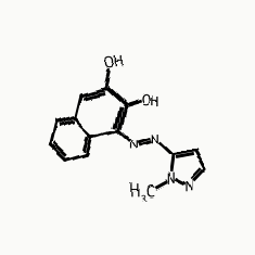 Cn1nccc1/N=N/c1c(O)c(O)cc2ccccc12